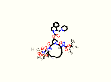 CC(C)(C)OC(=O)N[C@H]1CCCCC/C=C/[C@@H]2C[C@@]2(C(=O)N(S(C)(=O)=O)S(C)(=O)=O)NC(=O)C2C[C@@H](OC(=O)N3CCc4ccccc4[C@H]3CN3CCCCC3)CN2C1=O